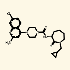 Nc1cc(N2CCN(C(=O)N[C@H]3CCCCN(CC4CC4)C3=O)CC2)c2ccc(Cl)cc2n1